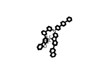 CC1(C)c2cc(-c3ccc4ccccc4c3)ccc2-c2ccc(N(c3ccc(-c4ccc(-c5ccccc5)cc4)cc3)c3cccc(-c4cccc(-c5ccc6oc7ccccc7c6c5)c4)c3)cc21